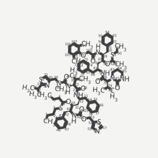 CCCCSC(CCC)O[C@@H](C[C@H](Cc1ccccc1)NC(=O)[C@@H](NC(=O)N(C)Cc1csc(C(C)C)n1)C(C)C)[C@H](Cc1ccccc1)NC(=O)OCc1cncs1.CCSC(C)O[C@@H](C[C@H](Cc1ccccc1)NC(=O)[C@H](C(C)C)N1CCCNC1=O)[C@H](Cc1ccccc1)NC(=O)COc1c(C)cccc1C